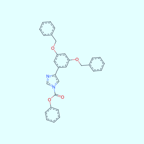 O=C(Oc1ccccc1)n1cnc(-c2cc(OCc3ccccc3)cc(OCc3ccccc3)c2)c1